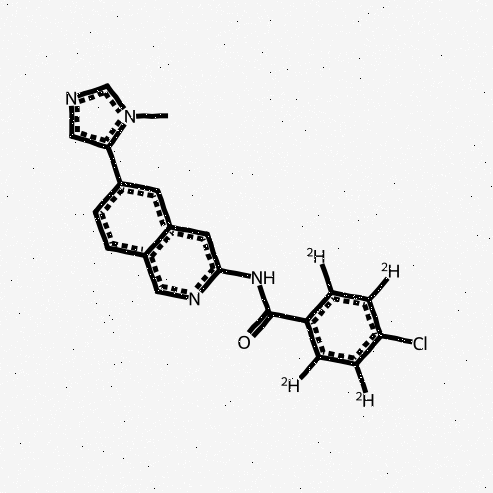 [2H]c1c([2H])c(C(=O)Nc2cc3cc(-c4cncn4C)ccc3cn2)c([2H])c([2H])c1Cl